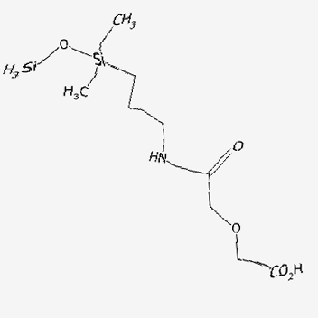 C[Si](C)(CCCNC(=O)COCC(=O)O)O[SiH3]